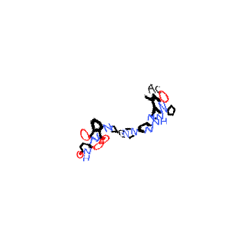 CC(=O)c1c(C)c2cnc(Nc3ccc(N4CCN(CC5CN(c6cccc7c6C(=O)N(C6CCC(=O)NC6=O)C7=O)C5)CC4)cn3)nc2n(C2CCCC2)c1=O